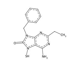 CCc1nc(N)c2c(n1)n(Cc1ccccc1)c(=O)n2S